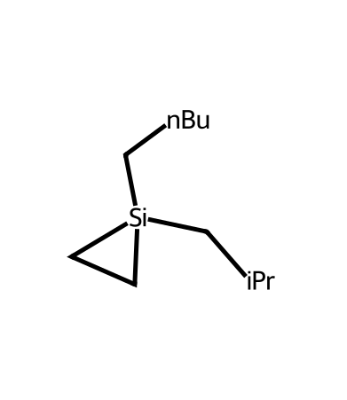 CCCCC[Si]1(CC(C)C)CC1